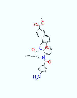 CCCC1CN(C(=O)c2ccc(N)cc2)c2ccccc2N(Cc2c(OC)ccc3cc(C(=O)OC)ccc23)C1=O